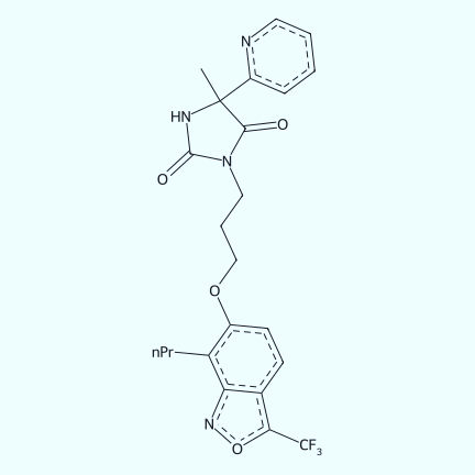 CCCc1c(OCCCN2C(=O)NC(C)(c3ccccn3)C2=O)ccc2c(C(F)(F)F)onc12